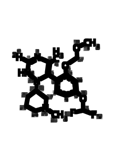 [2H]C1=NC(C)=C(c2ccc(OC(F)F)cc2OCOC)N([C@@H]2CCCN(C)C2)N1